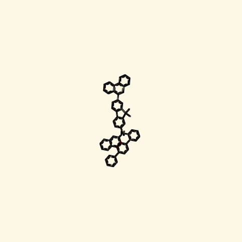 CC1(C)c2cc(-c3cc4ccccc4c4ccccc34)ccc2-c2ccc(N(c3ccc4ccccc4c3)c3ccccc3-c3ccc(-c4ccccc4)cc3)cc21